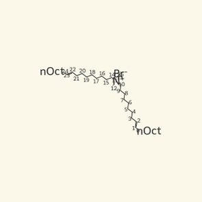 CCCCCCCCC=CCCCCCCCC[N+](C)(C)CCCCCCCCC=CCCCCCCCC.[Br-]